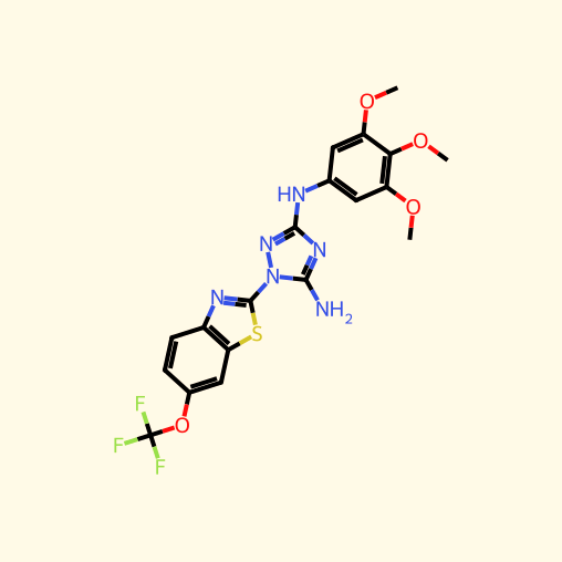 COc1cc(Nc2nc(N)n(-c3nc4ccc(OC(F)(F)F)cc4s3)n2)cc(OC)c1OC